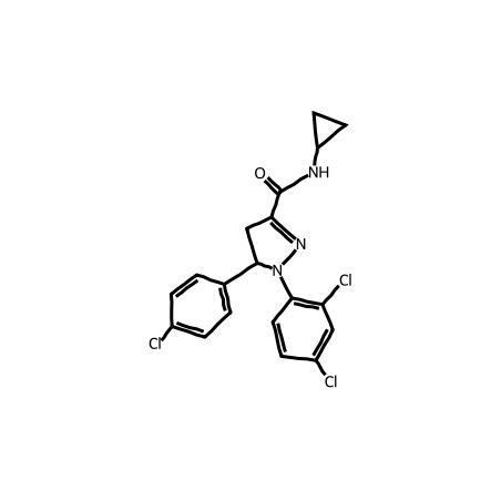 O=C(NC1CC1)C1=NN(c2ccc(Cl)cc2Cl)C(c2ccc(Cl)cc2)C1